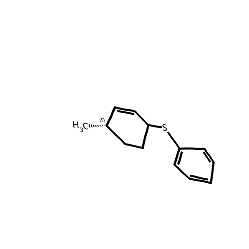 C[C@@H]1C=CC(Sc2ccccc2)CC1